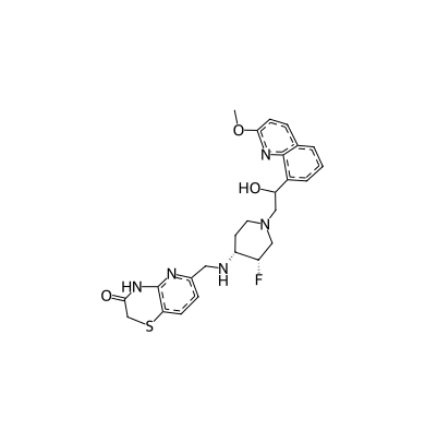 COc1ccc2cccc(C(O)CN3CC[C@@H](NCc4ccc5c(n4)NC(=O)CS5)[C@@H](F)C3)c2n1